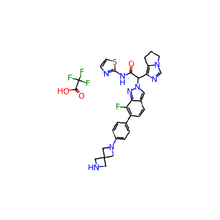 O=C(Nc1nccs1)C(c1ncn2c1CCC2)n1cc2ccc(-c3ccc(N4CC5(CNC5)C4)cc3)c(F)c2n1.O=C(O)C(F)(F)F